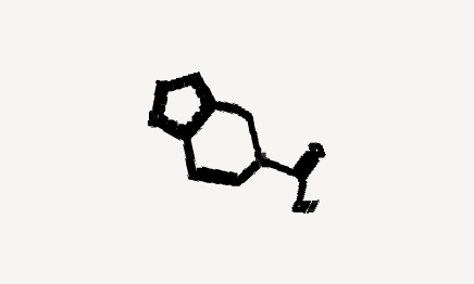 O=C(O)N1C=Cc2sccc2C1